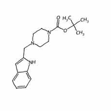 CC(C)(C)OC(=O)N1CCN(Cc2cc3ccccc3[nH]2)CC1